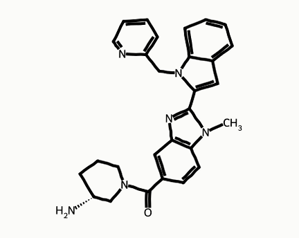 Cn1c(-c2cc3ccccc3n2Cc2ccccn2)nc2cc(C(=O)N3CCC[C@@H](N)C3)ccc21